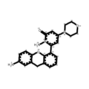 Nc1ccc2c(c1)Cc1cccc(-c3cc(N4CCOCC4)cc(=O)n3N)c1O2